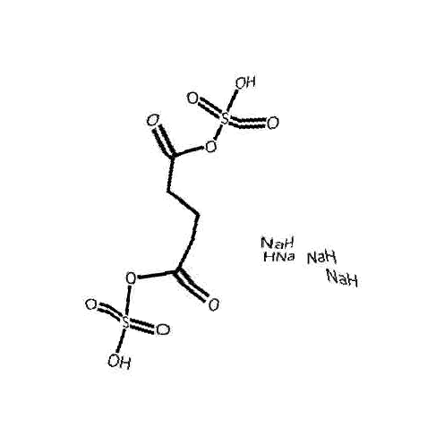 O=C(CCC(=O)OS(=O)(=O)O)OS(=O)(=O)O.[NaH].[NaH].[NaH].[NaH]